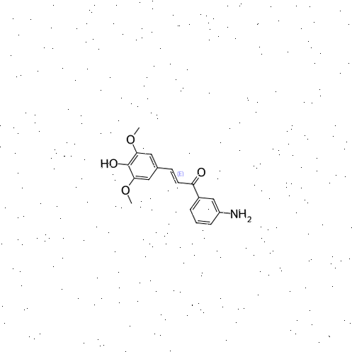 COc1cc(/C=C/C(=O)c2cccc(N)c2)cc(OC)c1O